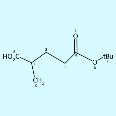 CC(CCC(=O)OC(C)(C)C)C(=O)O